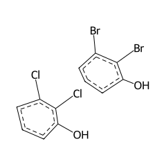 Oc1cccc(Br)c1Br.Oc1cccc(Cl)c1Cl